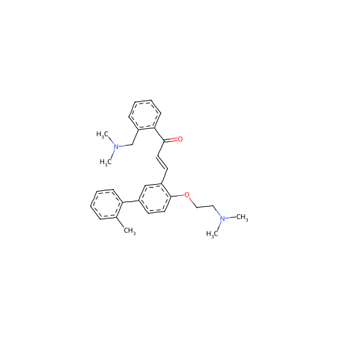 Cc1ccccc1-c1ccc(OCCN(C)C)c(C=CC(=O)c2ccccc2CN(C)C)c1